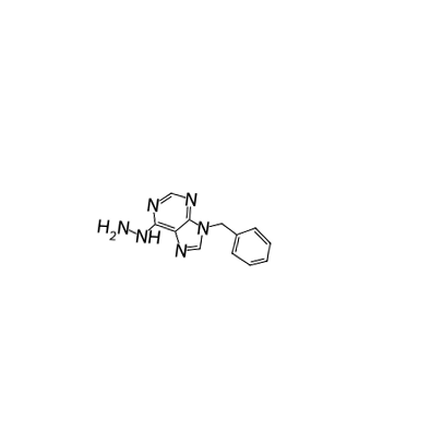 NNc1ncnc2c1ncn2Cc1ccccc1